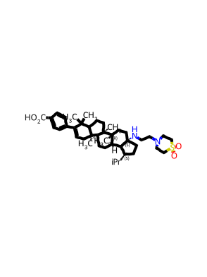 CC(C)[C@@H]1CC[C@]2(NCCN3CCS(=O)(=O)CC3)CC[C@]3(C)[C@H](CCC4[C@@]5(C)CC=C(c6ccc(C(=O)O)cc6)C(C)(C)C5CC[C@]43C)C12